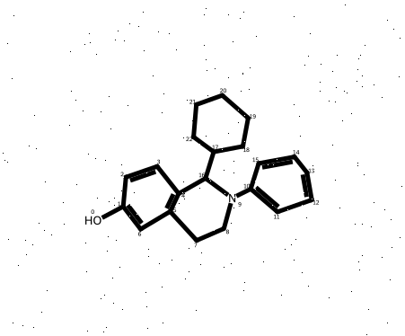 Oc1ccc2c(c1)CCN(c1ccccc1)C2C1CCCCC1